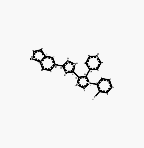 Fc1ccccc1-n1nnc(-c2nc(-c3ccc4[nH]ccc4c3)no2)c1-c1ccncc1